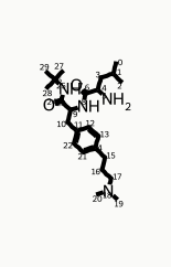 CC(C)CC(N)C(=O)NC(Cc1ccc(CCCN(C)C)cc1)C(=O)NC(C)(C)C